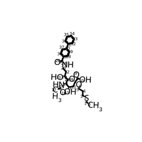 CCSCCCO[C@]1(C(=O)O)C[C@H](O)[C@@H](NC(C)=O)[C@H]([C@H](O)CCNC(=O)c2ccc(-c3ccccc3)cc2)O1